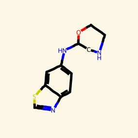 c1nc2ccc(NC3CNCCO3)cc2s1